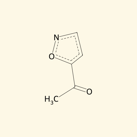 CC(=O)c1ccno1